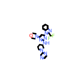 FC(F)c1nc2ccccc2n1-c1cc(N2CCOCC2)nc(N[C@H]2CCCN(c3cnccn3)C2)n1